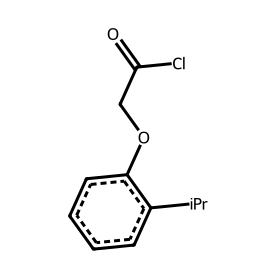 CC(C)c1ccccc1OCC(=O)Cl